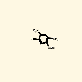 COc1cc(Cl)c([N+](=O)[O-])cc1N